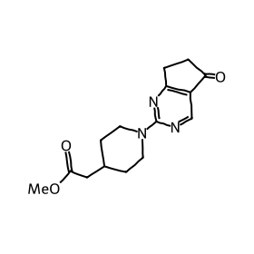 COC(=O)CC1CCN(c2ncc3c(n2)CCC3=O)CC1